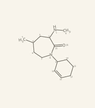 CNC1CC(C)CCN(C2C=CCCC2)C1=O